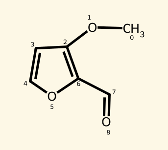 COc1ccoc1C=O